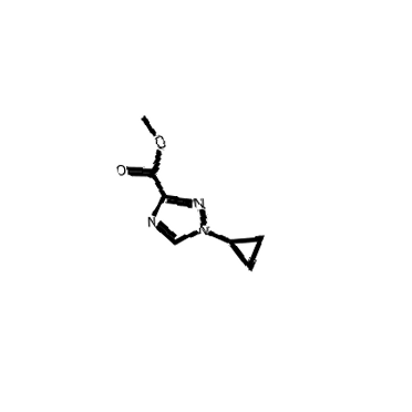 COC(=O)c1ncn(C2CC2)n1